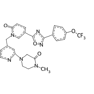 CN1CCN(c2cc(Cn3cc(-c4nc(-c5ccc(OC(F)(F)F)cc5)no4)ccc3=O)ccn2)CC1=O